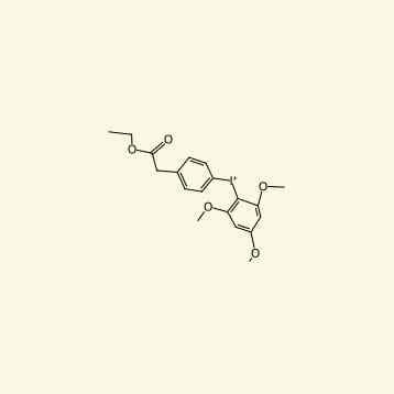 CCOC(=O)Cc1ccc([I+]c2c(OC)cc(OC)cc2OC)cc1